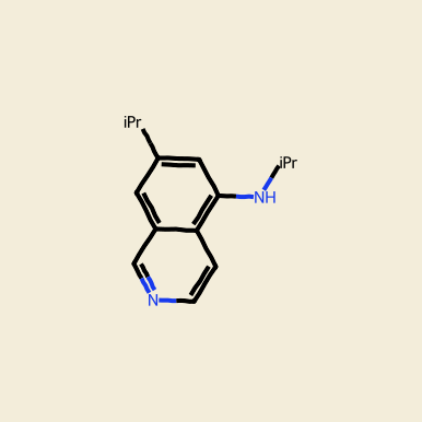 CC(C)Nc1cc(C(C)C)cc2cnccc12